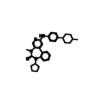 CC1CCC(c2ccc(Nc3cc4c(cn3)N(C)C(=O)N(C3CCCC3)c3ccccc3-4)cc2)CC1